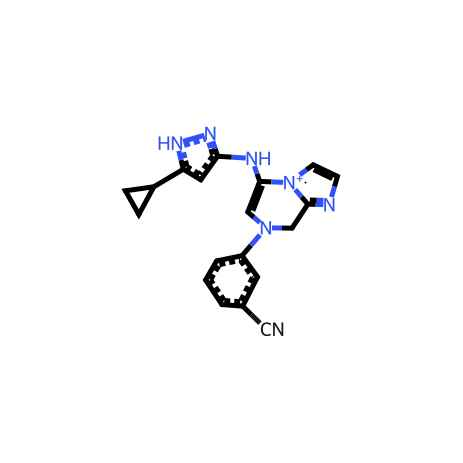 N#Cc1cccc(N2C=C(Nc3cc(C4CC4)[nH]n3)[N+]3C=CN=C3C2)c1